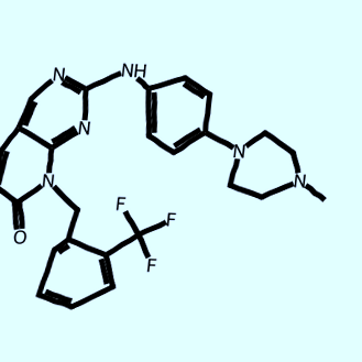 CN1CCN(c2ccc(Nc3ncc4ccc(=O)n(Cc5ccccc5C(F)(F)F)c4n3)cc2)CC1